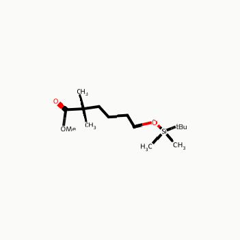 COC(=O)C(C)(C)CCCCO[Si](C)(C)C(C)(C)C